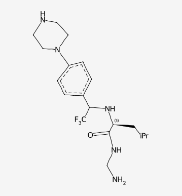 CC(C)C[C@H](NC(c1ccc(N2CCNCC2)cc1)C(F)(F)F)C(=O)NCN